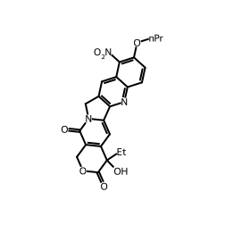 CCCOc1ccc2nc3c(cc2c1[N+](=O)[O-])Cn1c-3cc2c(c1=O)COC(=O)C2(O)CC